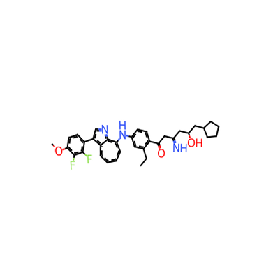 CCc1cc(Nc2ccccc3c(-c4ccc(OC)c(F)c4F)cnc2-3)ccc1C(=O)CC(=N)CC(O)CC1CCCC1